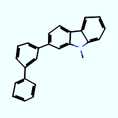 Cn1c2ccccc2c2ccc(-c3cccc(-c4ccccc4)c3)cc21